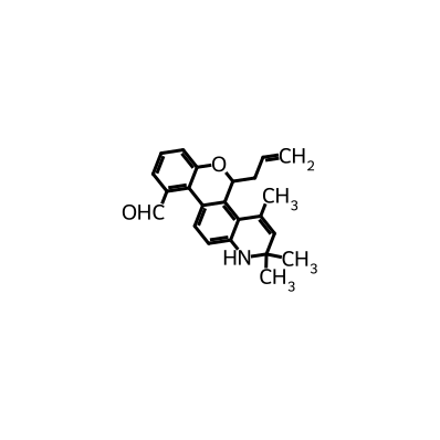 C=CCC1Oc2cccc(C=O)c2-c2ccc3c(c21)C(C)=CC(C)(C)N3